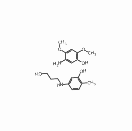 COc1cc(OC)c(O)cc1N.Cc1ccc(NCCCO)cc1O